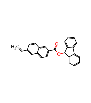 C=Cc1ccc2cc(C(=O)OC3c4ccccc4-c4ccccc43)ccc2c1